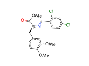 COC(=O)[C@H](Cc1ccc(OC)c(OC)c1)N=Cc1ccc(Cl)cc1Cl